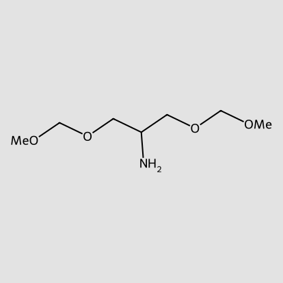 COCOCC(N)COCOC